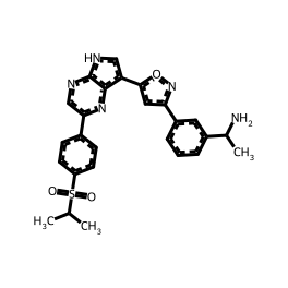 CC(N)c1cccc(-c2cc(-c3c[nH]c4ncc(-c5ccc(S(=O)(=O)C(C)C)cc5)nc34)on2)c1